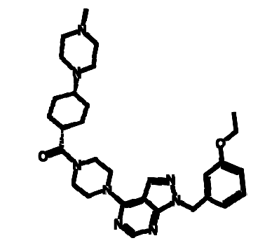 CCOc1cccc(Cn2ncc3c(N4CCN(C(=O)[C@H]5CC[C@H](N6CCN(C)CC6)CC5)CC4)ncnc32)c1